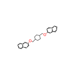 c1ccc2cc(OCC3CCC(COc4ccc5ccccc5c4)CC3)ccc2c1